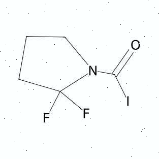 O=C(I)N1CCCC1(F)F